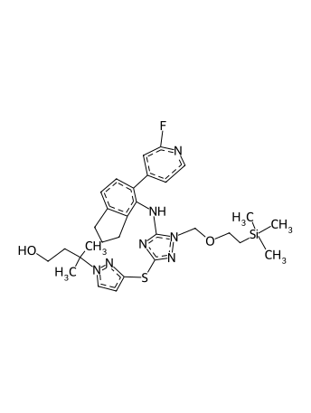 CC(C)(CCO)n1ccc(Sc2nc(Nc3c(-c4ccnc(F)c4)ccc4c3CCC4)n(COCC[Si](C)(C)C)n2)n1